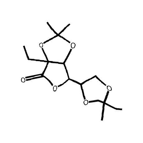 CCC12OC(C)(C)OC1C(C1COC(C)(C)O1)OC2=O